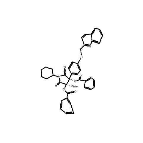 CO[C@]1(OC(=O)c2ccccc2)C(=O)N(C2CCCCC2)C(=O)[C@@]1(OC(=O)c1ccccc1)c1ccc(OCc2ccc3ccccc3n2)cc1